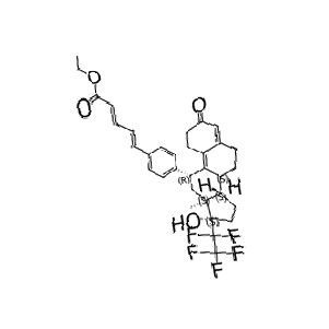 CCOC(=O)C=CC=Cc1ccc([C@H]2C[C@@]3(C)[C@@H](CC[C@@]3(O)C(F)(F)C(F)(F)F)[C@@H]3CCC4=CC(=O)CCC4=C32)cc1